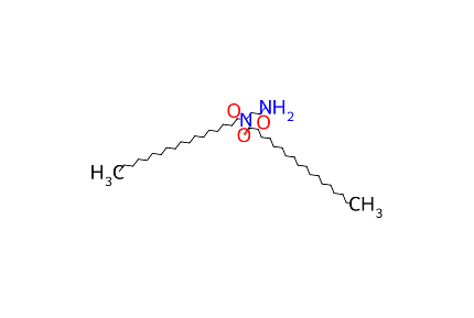 CCCCCCCCCCCCCCCCCC(=O)N(CC(N)=O)C(=O)CCCCCCCCCCCCCCCCC